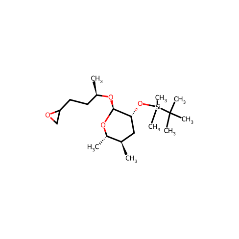 C[C@H](CCC1CO1)O[C@@H]1O[C@@H](C)[C@H](C)C[C@H]1O[Si](C)(C)C(C)(C)C